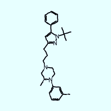 Cc1cccc(N2CCN(CCCc3cc(-c4ccccc4)n(C(C)(C)C)n3)CC2C)c1